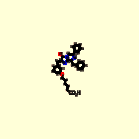 O=C(O)CCCCCOc1cccc(/C=C2\N=C3C(Cc4ccccc4)=NC(c4ccccc4)=CN3C2=O)c1